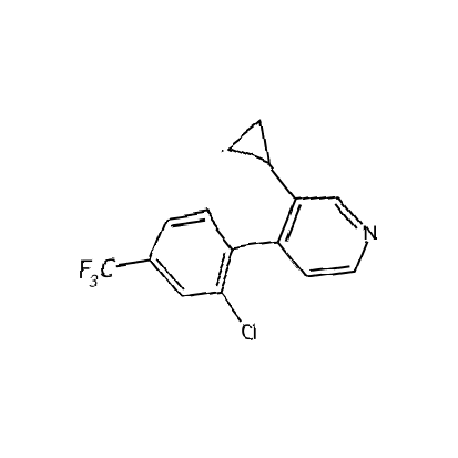 FC(F)(F)c1ccc(-c2ccncc2C2[CH]C2)c(Cl)c1